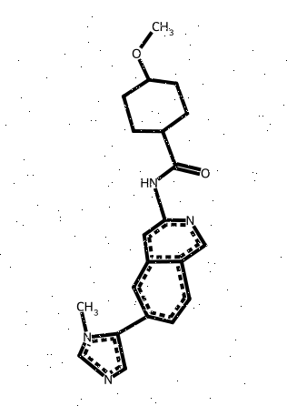 COC1CCC(C(=O)Nc2cc3cc(-c4cncn4C)ccc3cn2)CC1